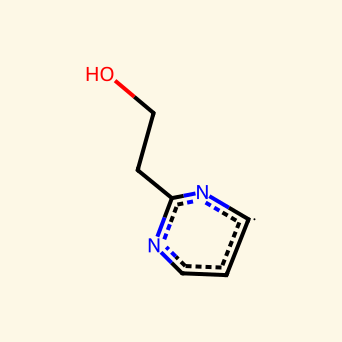 OCCc1n[c]ccn1